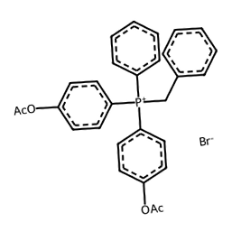 CC(=O)Oc1ccc([P+](Cc2ccccc2)(c2ccccc2)c2ccc(OC(C)=O)cc2)cc1.[Br-]